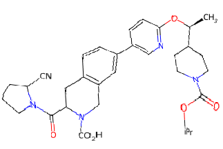 CC(C)OC(=O)N1CCC([C@H](C)Oc2ccc(-c3ccc4c(c3)CN(C(=O)O)C(C(=O)N3CCCC3C#N)C4)cn2)CC1